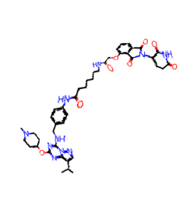 CC(C)c1cnn2c(NCc3ccc(NC(=O)CCCCCCNC(=O)COc4cccc5c4C(=O)N(C4CCC(=O)NC4=O)C5=O)cc3)nc(OC3CCN(C)CC3)nc12